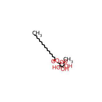 CCCCCCCCCCCCCCCCCC(=O)OCC1OC(OC)C(O)[C@@H](O)[C@@H]1O